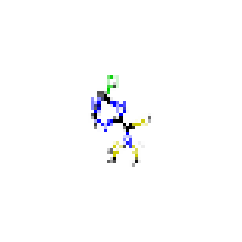 CSN(SC)C(=S)c1ncnc(Cl)n1